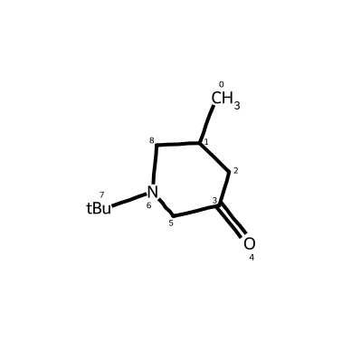 CC1CC(=O)CN(C(C)(C)C)C1